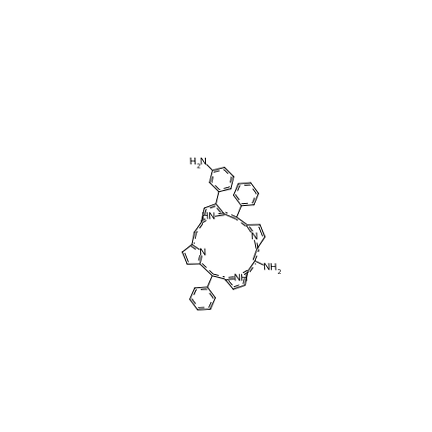 Nc1cccc(-c2cc3cc4nc(c(-c5ccccc5)c5ccc([nH]5)c(N)c5nc(c(-c6ccccc6)c2[nH]3)C=C5)C=C4)c1